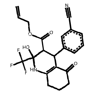 C=CCOC(=O)C1C(c2cccc(C#N)c2)C2=C(CCCC2=O)NC1(O)C(F)(F)F